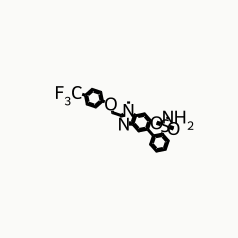 Cn1c(COc2ccc(C(F)(F)F)cc2)nc2cc(-c3ccccc3S(N)(=O)=O)ccc21